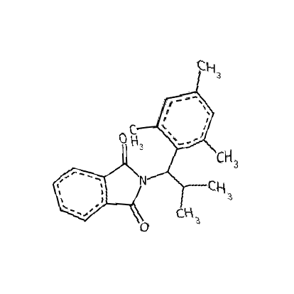 Cc1cc(C)c(C(C(C)C)N2C(=O)c3ccccc3C2=O)c(C)c1